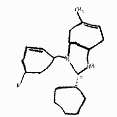 CC1=CCC2N[C@H](C3CCCCC3)N(C3C=CCC(Br)C3)C2C1